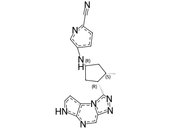 C[C@H]1C[C@@H](Nc2ccc(C#N)nc2)C[C@H]1c1nnc2cnc3[nH]ccc3n12